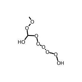 COOC(O)OOOOOO